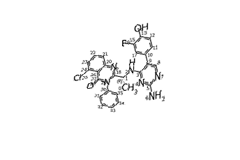 C[C@@H](Nc1nc(N)ncc1-c1ccc(O)c(F)c1)c1nc2cccc(Cl)c2c(=O)n1-c1ccccc1